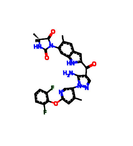 Cc1cc2cc(C(=O)c3cnn(-c4cnc(Oc5c(F)cccc5F)cc4C)c3N)[nH]c2cc1N1C(=O)N[C@H](C)C1=O